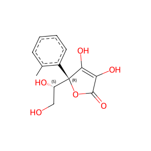 Cc1ccccc1[C@]1([C@@H](O)CO)OC(=O)C(O)=C1O